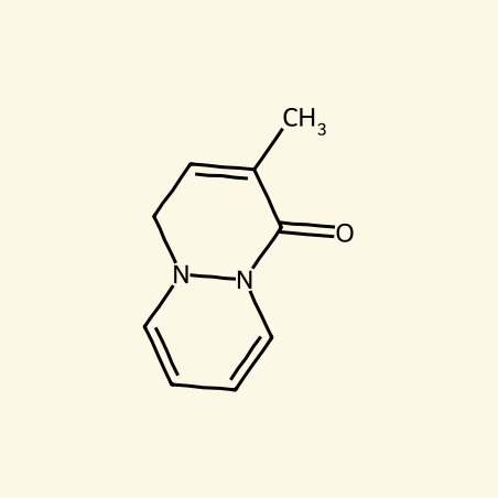 CC1=CCN2C=CC=CN2C1=O